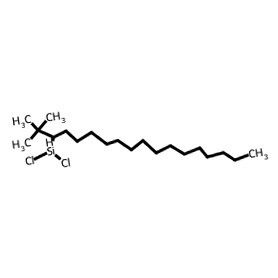 CCCCCCCCCCCCCCCC([SiH](Cl)Cl)C(C)(C)C